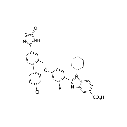 O=C(O)c1ccc2c(c1)nc(-c1ccc(OCc3cc(-c4nsc(=O)[nH]4)ccc3-c3ccc(Cl)cc3)cc1F)n2C1CCCCC1